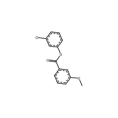 COc1cccc(C(=O)Oc2cccc(Cl)c2)c1